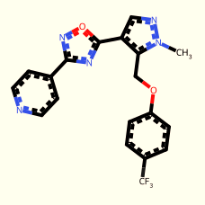 Cn1ncc(-c2nc(-c3ccncc3)no2)c1COc1ccc(C(F)(F)F)cc1